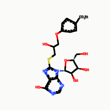 CCOC(=O)c1ccc(OCC(O)CSc2nc3c(O)ncnc3n2[C@@H]2O[C@H](CO)[C@@H](O)[C@H]2O)cc1